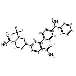 CC(C)(C)C1CC(c2ccc(C(N)=O)c(-c3ccc(C(O)c4ccccc4)cc3)n2)CCN1C(=O)O